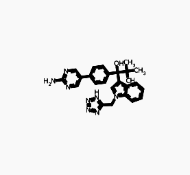 CC(C)(C)C(O)(c1ccc(-c2cnc(N)nc2)cc1)c1cn(Cc2nnn[nH]2)c2ccccc12